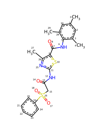 Cc1cc(C)c(NC(=O)c2sc(NC(=O)CS(=O)(=O)c3ccccc3)nc2C)c(C)c1